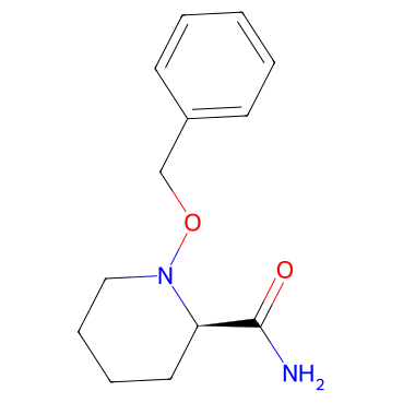 NC(=O)[C@H]1CCCCN1OCc1ccccc1